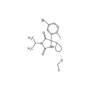 CC(C)N1C(=O)NC2(C1=O)c1cc(Br)ccc1C[C@]21CC[C@@H](OCF)CC1